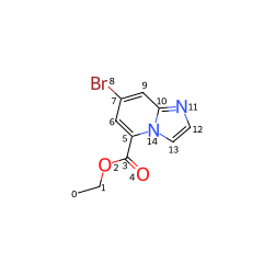 CCOC(=O)c1cc(Br)cc2nccn12